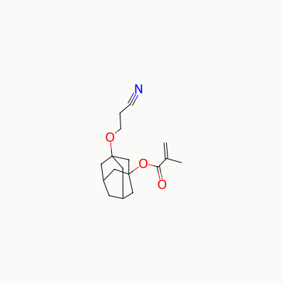 C=C(C)C(=O)OC12CC3CC(CC(OCCC#N)(C3)C1)C2